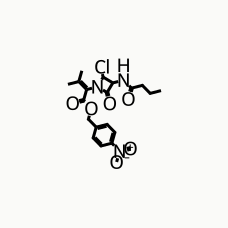 CCCC(=O)NC1C(=O)N(C(C(=O)OCc2ccc([N+](=O)[O-])cc2)=C(C)C)C1Cl